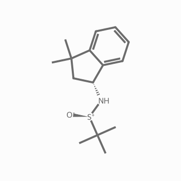 CC1(C)C[C@@H](N[S@+]([O-])C(C)(C)C)c2ccccc21